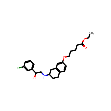 CCOC(=O)CCCCOc1ccc2c(c1)CC(NCC(O)c1cccc(Cl)c1)CC2